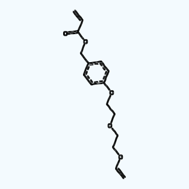 C=COCCOCCOc1ccc(COC(=O)C=C)cc1